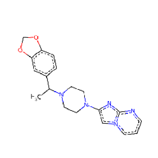 CC(c1ccc2c(c1)OCO2)N1CCN(c2cn3cccnc3n2)CC1